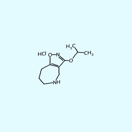 CC(C)Oc1noc2c1CNCCC2.Cl